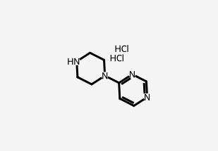 Cl.Cl.c1cc(N2CCNCC2)ncn1